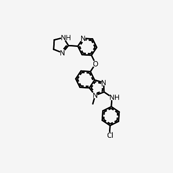 Cn1c(Nc2ccc(Cl)cc2)nc2c(Oc3ccnc(C4=NCCN4)c3)cccc21